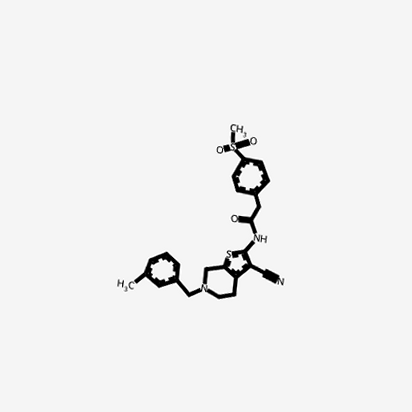 Cc1cccc(CN2CCc3c(sc(NC(=O)Cc4ccc(S(C)(=O)=O)cc4)c3C#N)C2)c1